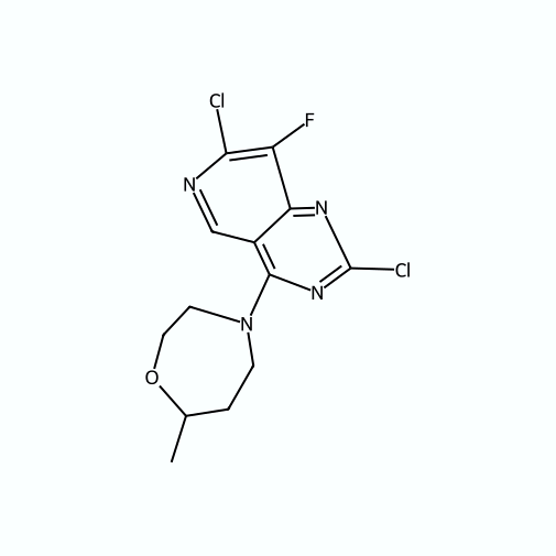 CC1CCN(c2nc(Cl)nc3c(F)c(Cl)ncc23)CCO1